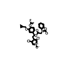 O=C(Cn1c(=O)oc2ccccc21)OC(Cc1c(Cl)c[n+]([O-])cc1Cl)c1ccc(OC(F)F)c(OCC2CC2)c1